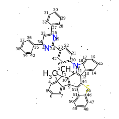 CC1(C)c2ccccc2-c2c1c1c(c3ccccc3n1-c1ccc(-c3nc(-c4ccccc4)cc(-c4ccccc4)n3)cc1)c1sc3ccccc3c21